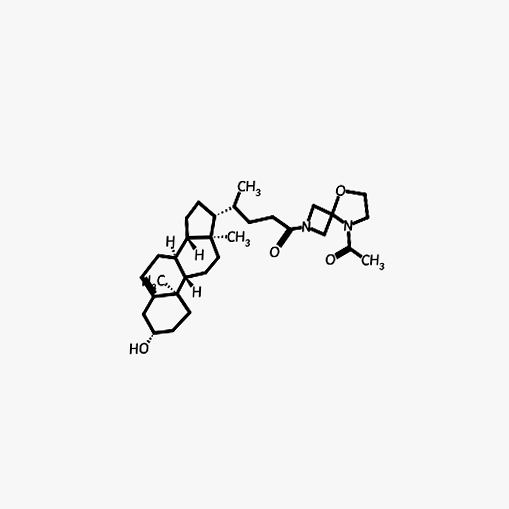 CC(=O)N1CCOC12CN(C(=O)CCC(C)[C@H]1CC[C@H]3[C@@H]4CC=C5C[C@@H](O)CC[C@]5(C)[C@H]4CC[C@]13C)C2